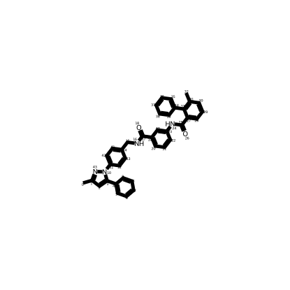 Cc1cc(-c2ccccc2)n(-c2ccc(CNC(=O)c3cccc(NC(=O)c4cccc(C)c4-c4ccccc4)c3)cc2)n1